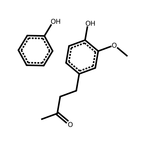 COc1cc(CCC(C)=O)ccc1O.Oc1ccccc1